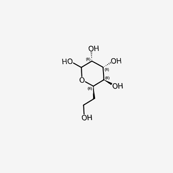 OCC[C@H]1OC(O)[C@H](O)[C@H](O)[C@H]1O